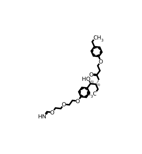 CCc1ccc(OCCC(=O)C[C@H](CC)[C@H](O)c2ccc(OCCOCCOC=N)cc2)cc1